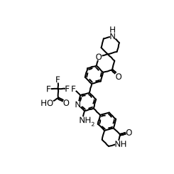 Nc1nc(F)c(-c2ccc3c(c2)C(=O)CC2(CCNCC2)O3)cc1-c1ccc2c(c1)CCNC2=O.O=C(O)C(F)(F)F